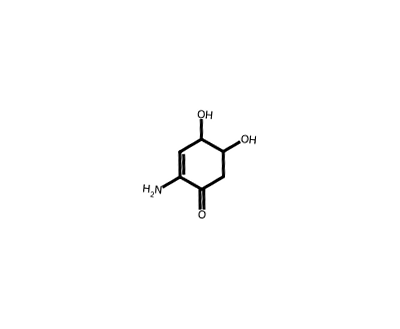 NC1=CC(O)C(O)CC1=O